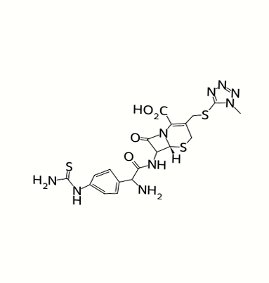 Cn1nnnc1SCC1=C(C(=O)O)N2C(=O)C(NC(=O)C(N)c3ccc(NC(N)=S)cc3)[C@H]2SC1